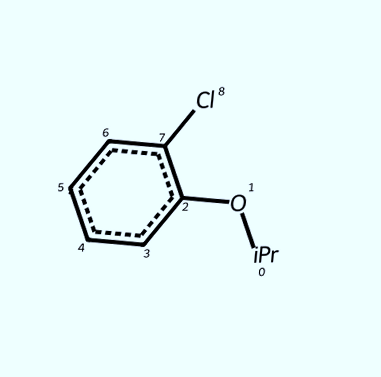 CC(C)Oc1cc[c]cc1Cl